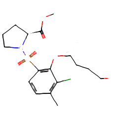 COC(=O)[C@@H]1CCCN1S(=O)(=O)c1ccc(C)c(F)c1O[C@H](C)CCCO